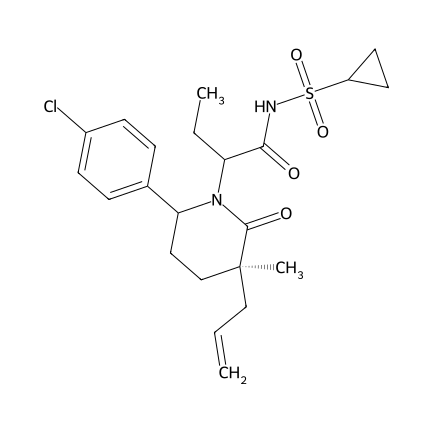 C=CC[C@@]1(C)CCC(c2ccc(Cl)cc2)N(C(CC)C(=O)NS(=O)(=O)C2CC2)C1=O